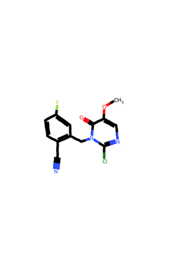 COc1cnc(Cl)n(Cc2cc(F)ccc2C#N)c1=O